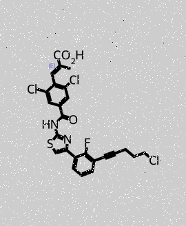 C/C(=C\c1c(Cl)cc(C(=O)Nc2nc(-c3cccc(C#CCCCCl)c3F)cs2)cc1Cl)C(=O)O